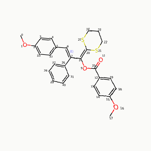 COc1ccc(/C=C(/C(OC(=O)c2ccc(OC)cc2)=C2SCCCS2)c2ccccc2)cc1